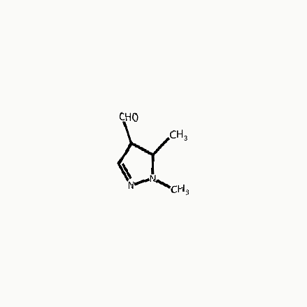 CC1C(C=O)C=NN1C